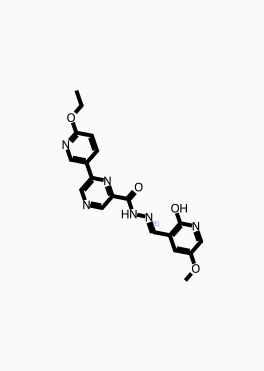 CCOc1ccc(-c2cncc(C(=O)N/N=C/c3cc(OC)cnc3O)n2)cn1